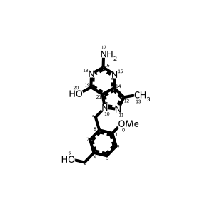 COc1ccc(CO)cc1Cn1nc(C)c2nc(N)nc(O)c21